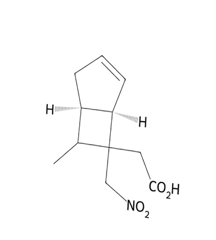 CC1[C@H]2CC=C[C@H]2C1(CC(=O)O)C[N+](=O)[O-]